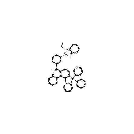 CCn1c(-c2cccc(-c3nc4ccccc4c4c5c(ccc34)C(c3ccccc3)(c3ccccc3)c3ccccc3-5)c2)nc2ccccc21